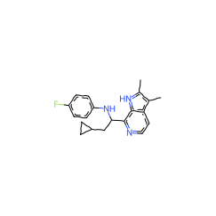 Cc1[nH]c2c(C(CC3CC3)Nc3ccc(F)cc3)nccc2c1C